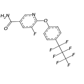 NC(=O)c1cnc(Oc2ccc(C(F)(F)C(F)(F)C(F)(F)F)cc2)c(F)c1